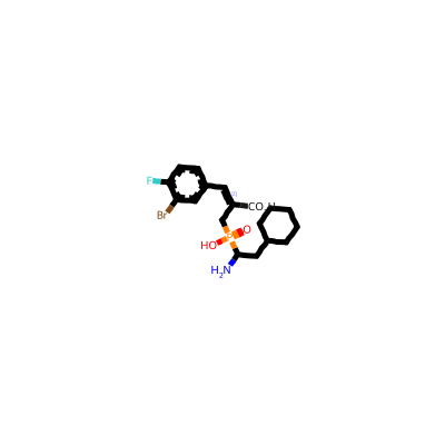 NC(CC1CCCCC1)P(=O)(O)C/C(=C\c1ccc(F)c(Br)c1)C(=O)O